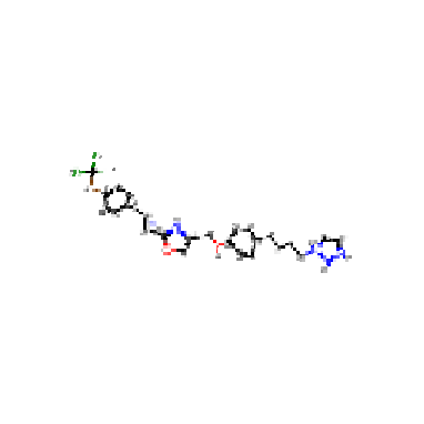 FC(F)(F)Sc1ccc(/C=C/c2nc(COc3ccc(CCCCn4ccnn4)cc3)co2)cc1